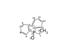 C=CP(=O)(c1ccccc1)c1ccccc1